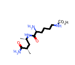 C[C@@H](C[C@H](C)C(N)=O)NC(=O)[C@@H](N)CCCCNC(=O)O